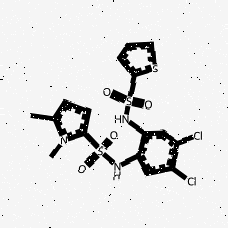 Cc1ccc(S(=O)(=O)Nc2cc(Cl)c(Cl)cc2NS(=O)(=O)c2cccs2)n1C